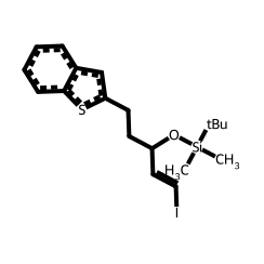 CC(C)(C)[Si](C)(C)OC(C=CI)CCc1cc2ccccc2s1